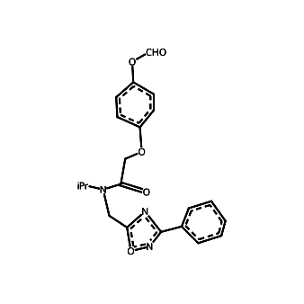 CC(C)N(Cc1nc(-c2ccccc2)no1)C(=O)COc1ccc(OC=O)cc1